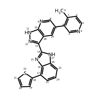 Cc1ccncc1-c1cnc2[nH]nc(-c3nc4c(-c5cccs5)cccc4[nH]3)c2c1